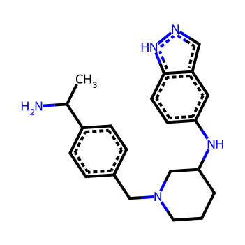 CC(N)c1ccc(CN2CCCC(Nc3ccc4[nH]ncc4c3)C2)cc1